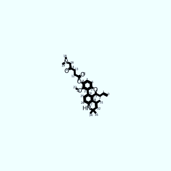 C=CCC1Oc2ccc(OC(=O)CCC(=O)CN(C)C)c(OC)c2-c2ccc3c(c21)C(C)=CC(C)(C)N3